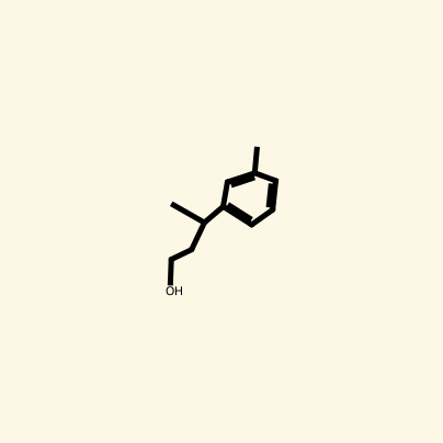 Cc1cccc(C(C)CCO)c1